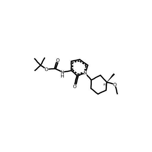 CO[C@]1(C)CCCC(n2cccc(NC(=O)OC(C)(C)C)c2=O)C1